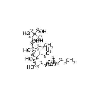 CCCCC(O)=S.CCCCC(O)=S.CCCCC(O)=S.CCCCC(O)=S.OCC(CO)(CO)CO